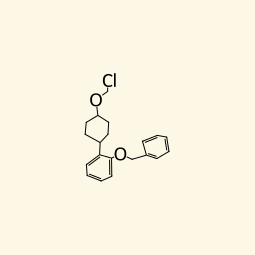 ClCOC1CCC(c2ccccc2OCc2ccccc2)CC1